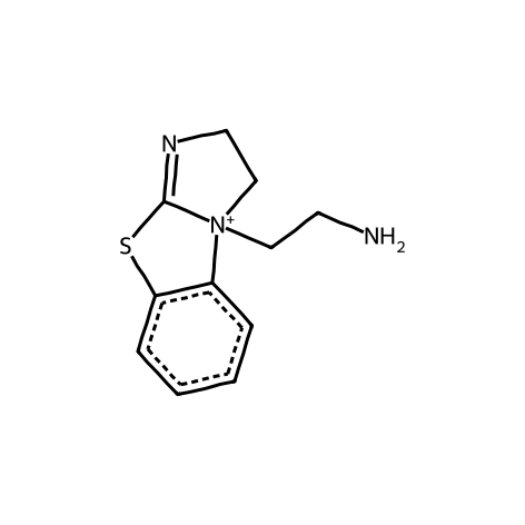 NCC[N+]12CCN=C1Sc1ccccc12